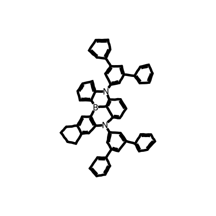 c1ccc(-c2cc(-c3ccccc3)cc(N3c4ccccc4B4c5cc6c(cc5N(c5cc(-c7ccccc7)cc(-c7ccccc7)c5)c5cccc3c54)CCCC6)c2)cc1